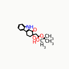 CC(C)(C)OC(=O)CC1(O)CCc2c([nH]c3ccccc23)C1=O